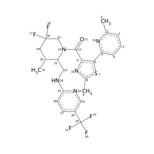 Cc1cccc(-c2sc(C)nc2C(=O)N2CC(F)(F)CC(C)C2CNc2ccc(C(F)(F)F)cn2)n1